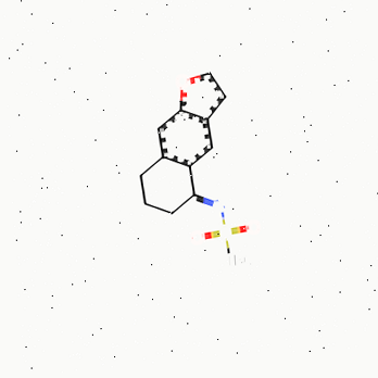 CC(C)(C)S(=O)(=O)N=C1CCCc2cc3occc3cc21